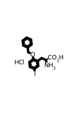 Cl.N[C@@H](Cc1cc(I)ccc1OCc1ccccc1)C(=O)O